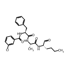 CCCC[C@@H](C=O)NC(=O)[C@H](C)NC(=O)[C@H](Cc1ccccc1)NC(=O)c1cccc(Cl)c1